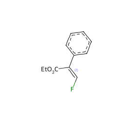 CCOC(=O)/C(=C\F)c1ccccc1